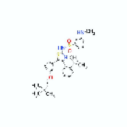 CNc1cccc(S(=O)(=O)Nc2nc(-c3ccccc3C(C)C)c(-c3cccc(OCCC(C)(C)C)c3)s2)c1